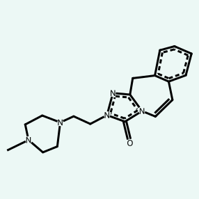 CN1CCN(CCn2nc3n(c2=O)C=Cc2ccccc2C3)CC1